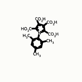 Cc1cc(C)c(-n2c(C(=O)O)c(C(=O)O)c(C(=O)O)c2C(=O)O)c(C)c1